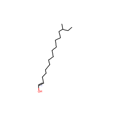 CCC(C)CCCCCCCCCCC/C=C/O